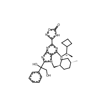 C[C@@H](Nc1nc(-c2noc(=O)[nH]2)nc2nc(C(O)(CO)c3ccccc3)n(C[C@H]3CC[C@H](C)CC3)c12)C1CCC1